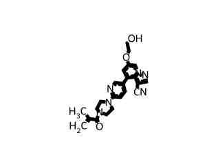 C=C(C)C(=O)N1CCN(c2ccc(-c3cc(OCCO)cn4ncc(C#N)c34)cn2)CC1